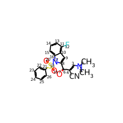 CN(C)C=C(C#N)C(=O)c1cc2c(F)cccc2n1S(=O)(=O)c1ccccc1